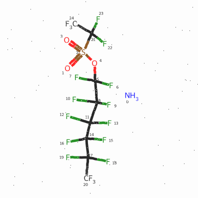 N.O=S(=O)(OC(F)(F)C(F)(F)C(F)(F)C(F)(F)C(F)(F)C(F)(F)F)C(F)(F)C(F)(F)F